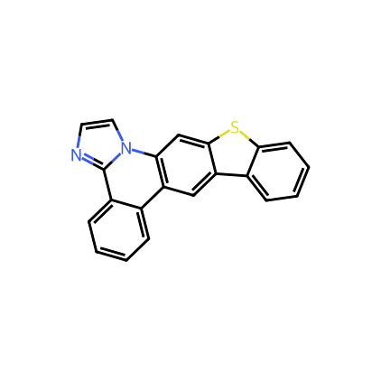 c1ccc2c(c1)sc1cc3c(cc12)c1ccccc1c1nccn31